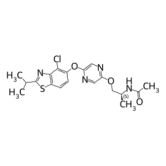 CC(=O)N[C@@H](C)COc1cnc(Oc2ccc3sc(C(C)C)nc3c2Cl)cn1